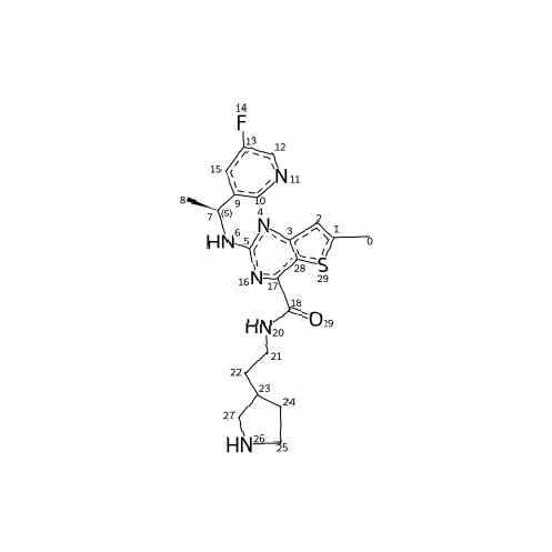 Cc1cc2nc(N[C@@H](C)c3cncc(F)c3)nc(C(=O)NCCC3CCNC3)c2s1